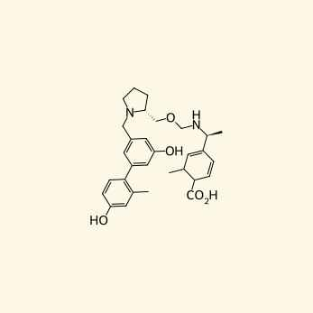 Cc1cc(O)ccc1-c1cc(O)cc(CN2CCC[C@@H]2COCN[C@@H](C)C2=CC(C)C(C(=O)O)C=C2)c1